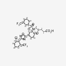 O=C(O)CCC1CN(S(=O)(=O)c2cccc(C(F)(F)F)c2)c2cc(-c3nc(-c4c(Cl)cccc4C(F)(F)F)no3)ccc2O1